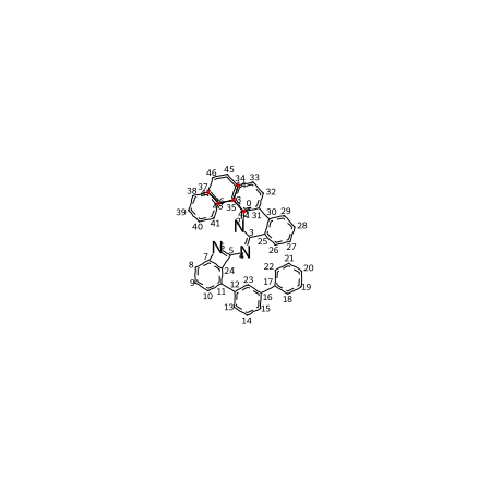 C/C(=N\C(=N/C1=Nc2cccc(-c3cccc(-c4ccccc4)c3)c21)c1ccccc1-c1cccc(-c2ccccc2)c1)C1=C=C=CC=C1